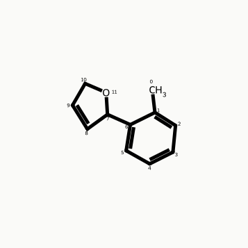 Cc1ccccc1C1C=CCO1